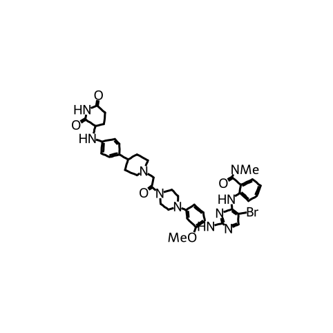 CNC(=O)c1ccccc1Nc1nc(Nc2ccc(N3CCN(C(=O)CN4CCC(c5ccc(NC6CCC(=O)NC6=O)cc5)CC4)CC3)cc2OC)ncc1Br